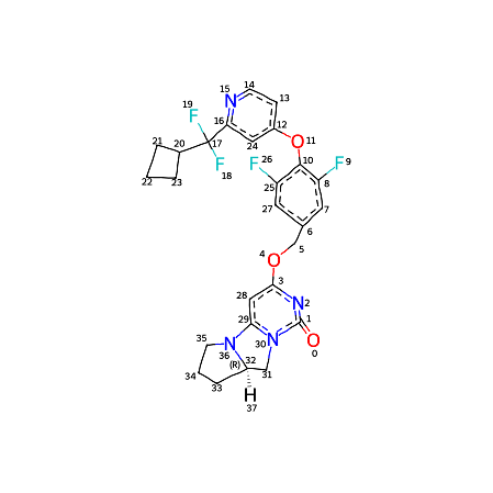 O=c1nc(OCc2cc(F)c(Oc3ccnc(C(F)(F)C4CCC4)c3)c(F)c2)cc2n1C[C@H]1CCCN21